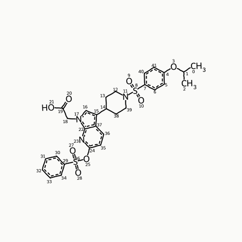 CC(C)Oc1ccc(S(=O)(=O)N2CCC(c3cn(CC(=O)O)c4nc(OS(=O)(=O)c5ccccc5)ccc34)CC2)cc1